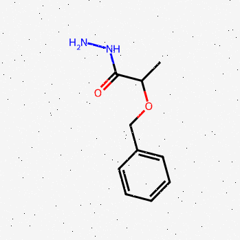 CC(OCc1ccccc1)C(=O)NN